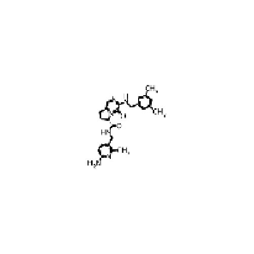 Cc1cc(C)cc(CNc2ncc3n(c2=O)[C@H](C(=O)NCc2ccc(N)nc2C)CC3)c1